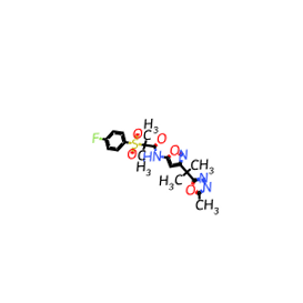 Cc1nnc(C(C)(C)c2cc(NC(=O)C(C)(C)S(=O)(=O)c3ccc(F)cc3)on2)o1